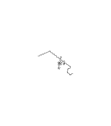 CC/C=C\C/C=C\C/C=C\C/C=C\CCCCC(=O)O[C@H](COC(=O)CCCCCCCCC/C=C\CCCCCCCCCC)COP(=O)([O-])OCC[N+](C)(C)C